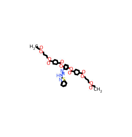 C=CC(=O)OCCCCOC(=O)C1CCC(C(=O)Oc2ccc(OC(=O)C3CCC(C(=O)OCCCCOC(=O)C=C)CC3)c(/N=N/Nc3nc4ccccc4s3)c2)CC1